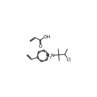 C=CC(=O)O.C=Cc1ccccc1.CC(Cl)C(C)(C)N